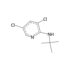 CC(C)(C)Nc1ncc(Cl)cc1Cl